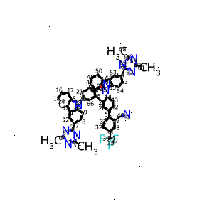 Cc1nc(C)nc(-c2ccc3c(c2)c2ccccc2n3-c2ccc(C#N)c(-c3cc(-c4ccc(C(F)(F)F)cc4C#N)ccc3-n3c4ccccc4c4cc(-c5nc(C)nc(C)n5)ccc43)c2)n1